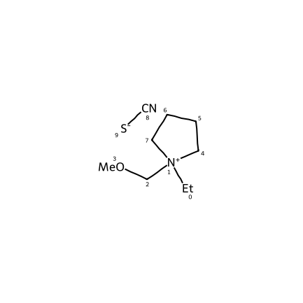 CC[N+]1(COC)CCCC1.N#C[S-]